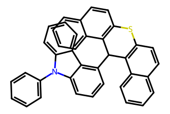 c1ccc(-n2c3ccccc3c3c(C4c5c(ccc6ccccc56)Sc5ccc6ccccc6c54)cccc32)cc1